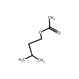 CC(=O)O[CH]CC(C)C